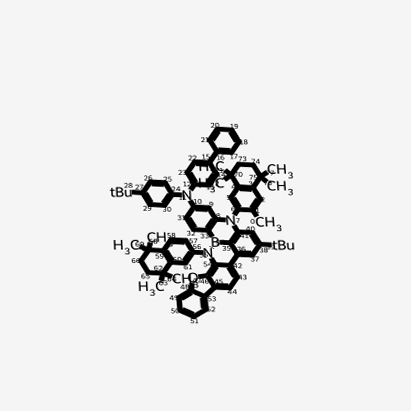 Cc1cc2c(cc1N1c3cc(N(c4ccc(-c5ccccc5)cc4)c4ccc(C(C)(C)C)cc4)ccc3B3c4c(cc(C(C)(C)C)cc41)-c1ccc4c(oc5ccccc54)c1N3c1ccc3c(c1)C(C)(C)CCC3(C)C)C(C)(C)CCC2(C)C